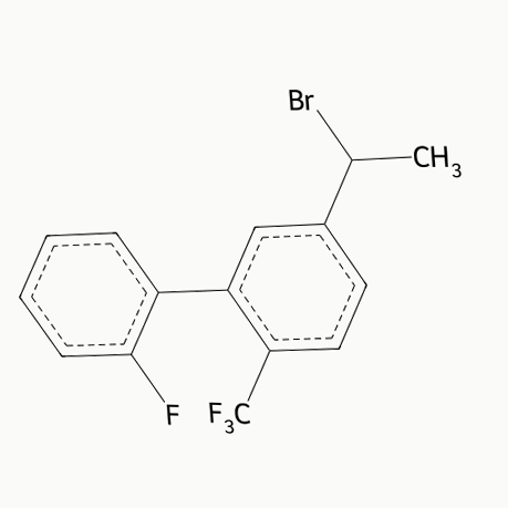 CC(Br)c1ccc(C(F)(F)F)c(-c2ccccc2F)c1